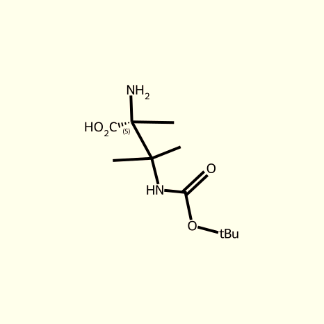 CC(C)(C)OC(=O)NC(C)(C)[C@](C)(N)C(=O)O